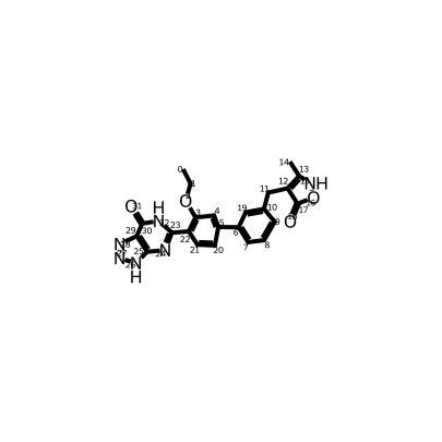 CCOc1cc(-c2cccc(Cc3c(C)[nH]oc3=O)c2)ccc1-c1nc2[nH]nnc2c(=O)[nH]1